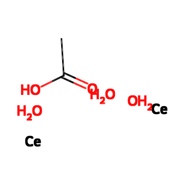 CC(=O)O.O.O.O.[Ce].[Ce]